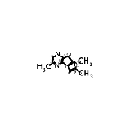 Cc1cnc2c(n1)-c1cc(C)n(C)c1C2